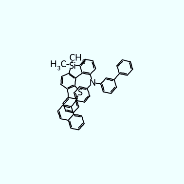 C[Si]1(C)c2cccc(N(c3ccc(-c4cccc5ccccc45)cc3)c3cccc(-c4ccccc4)c3)c2-c2c1ccc1c2sc2ccccc21